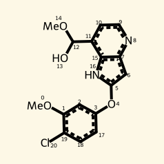 COc1cc(Oc2cc3nccc(C(O)OC)c3[nH]2)ccc1Cl